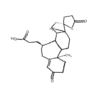 CC12CCC(=O)C=C1C[C@@H](CCC(=O)O)C1C2CCC2(C)C1CC[C@@]21CCC(=O)O1